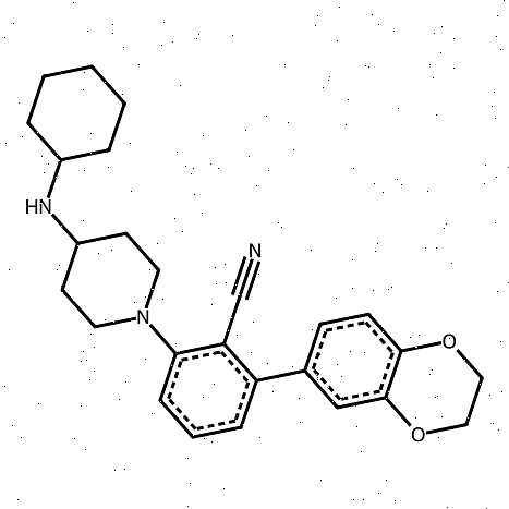 N#Cc1c(-c2ccc3c(c2)OCCO3)cccc1N1CCC(NC2CCCCC2)CC1